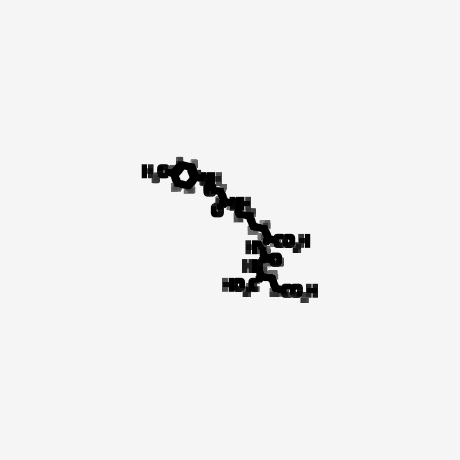 CC1=CC=C(NOCC(=O)NCCCCC(NC(=O)NC(CCC(=O)O)C(=O)O)C(=O)O)CC1